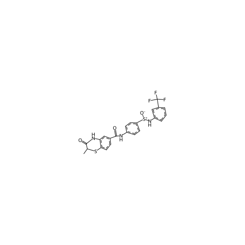 CC1Sc2ccc(C(=O)Nc3ccc([S+]([O-])Nc4cccc(C(F)(F)F)c4)cc3)cc2NC1=O